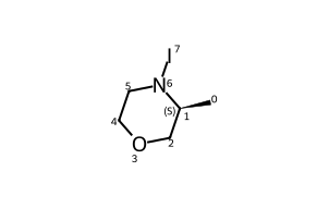 C[C@H]1COCCN1I